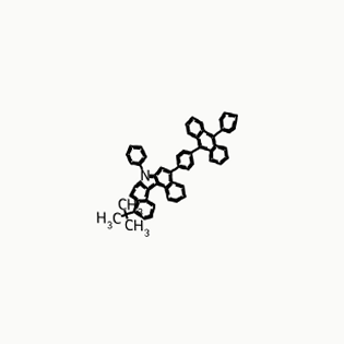 CC(C)(C)c1cccc2c1ccc1c2c2c3ccccc3c(-c3ccc(-c4c5ccccc5c(-c5ccccc5)c5ccccc45)cc3)cc2n1-c1ccccc1